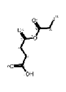 O=C(O)CCC(=O)OC(=O)CI